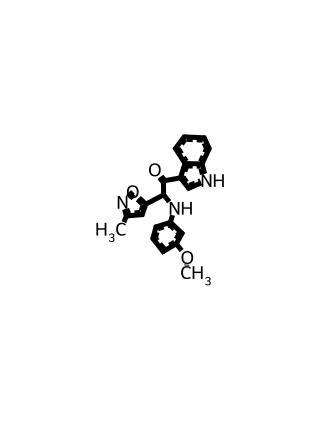 COc1cccc(NC(C(=O)c2c[nH]c3ccccc23)c2cc(C)no2)c1